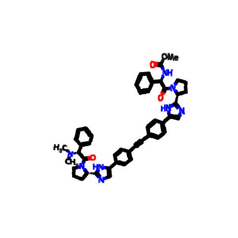 COC(=O)N[C@@H](C(=O)N1CCC[C@H]1c1ncc(-c2ccc(C#Cc3ccc(-c4cnc([C@@H]5CCCN5C(=O)[C@@H](c5ccccc5)N(C)C)[nH]4)cc3)cc2)[nH]1)c1ccccc1